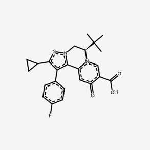 CC(C)(C)[C@@H]1Cn2nc(C3CC3)c(-c3ccc(F)cc3)c2-c2cc(=O)c(C(=O)O)cn21